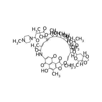 CC(=O)O[C@H]1[C@H](C)[C@H](O)[C@H](C)[C@@H](O)[C@@H](C(C)OC(=O)C(C)(C)CC(=O)N2CCN(C)CC2)/C=C/C=C(/C)C(=O)NC2=CC(=O)c3c(c(O)c(C)c4c3C(=O)[C@@](C)(O/C=C/[C@H](O[C@H]3C[C@@H]5OCO[C@@H]5[C@@H](C)O3)[C@H]1C)O4)C2=O